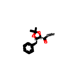 COC(=O)[C@H]1OC(C)(C)O[C@H]1Cc1ccccc1